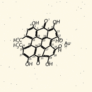 Cc1cc(O)c2c(=O)c3c(O)cc(O)c4c5c(O)cc(O)c6c(=O)c7c(O)cc(C)c8c1c2c(c34)c(c78)c65.[Au]